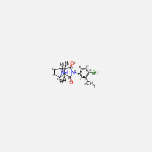 Cc1cc(N2C(=O)[C@@H]3[C@H](C2=O)[C@@H]2CC[C@H]3N2)ccc1Br